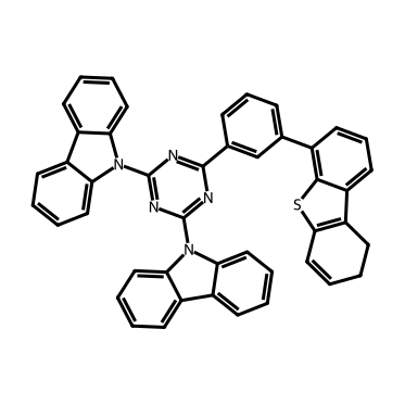 C1=Cc2sc3c(-c4cccc(-c5nc(-n6c7ccccc7c7ccccc76)nc(-n6c7ccccc7c7ccccc76)n5)c4)cccc3c2CC1